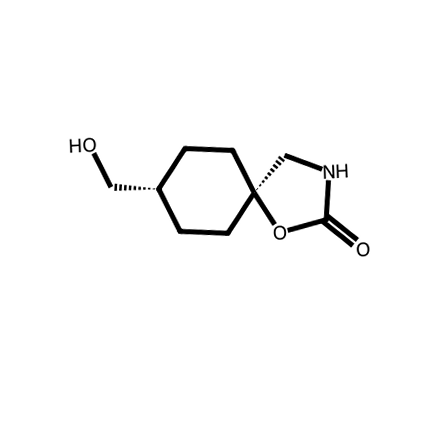 O=C1NC[C@]2(CC[C@@H](CO)CC2)O1